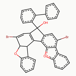 OC1(c2ccccc2-c2ccccc2)C2=C(c3c1cc(Br)c1c3oc3ccccc31)C1c3ccccc3OC1C(Br)=C2